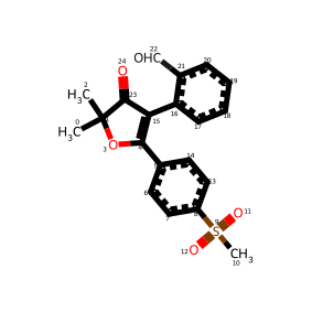 CC1(C)OC(c2ccc(S(C)(=O)=O)cc2)=C(c2ccccc2C=O)C1=O